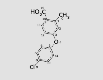 Cc1cc(Oc2ccc(Cl)cc2)ccc1C(=O)O